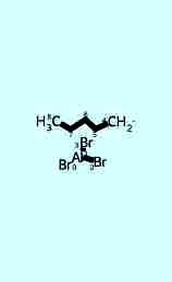 [Br][Al]([Br])[Br].[CH2]CCCC